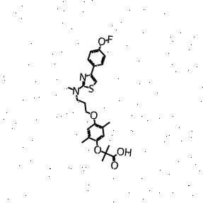 Cc1cc(OC(C)(C)C(=O)O)c(C)cc1OCCCN(C)c1nc(-c2ccc(OF)cc2)cs1